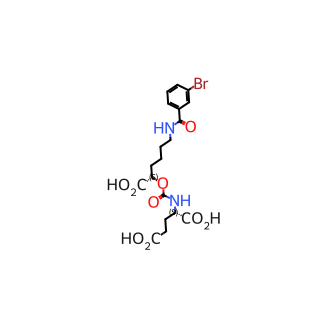 O=C(O)CC[C@H](NC(=O)O[C@@H](CCCCNC(=O)c1cccc(Br)c1)C(=O)O)C(=O)O